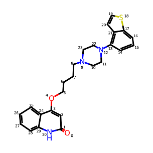 O=c1cc(OCCCCN2CCN(c3cccc4sccc34)CC2)c2ccccc2[nH]1